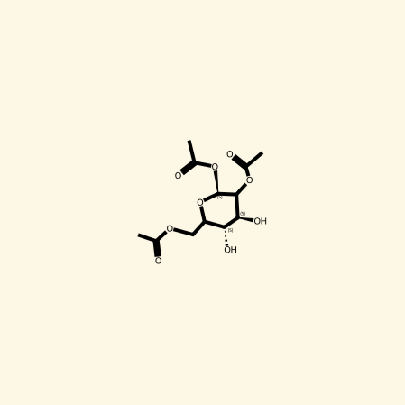 CC(=O)OCC1O[C@@H](OC(C)=O)C(OC(C)=O)[C@@H](O)[C@@H]1O